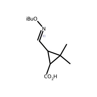 CC(C)CO/N=C/C1C(C(=O)O)C1(C)C